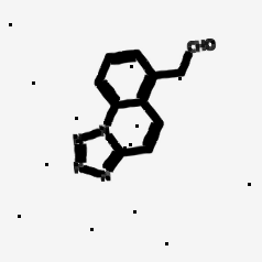 O=CCc1cccc2c1ccc1nnnn12